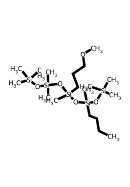 CCCC[Si](C)(O[Si](C)(C)C)O[Si](C)(CCCOC)O[Si](C)(C)O[Si](C)(C)C